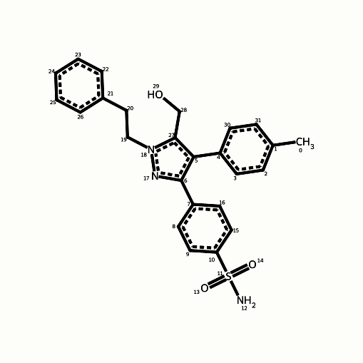 Cc1ccc(-c2c(-c3ccc(S(N)(=O)=O)cc3)nn(CCc3ccccc3)c2CO)cc1